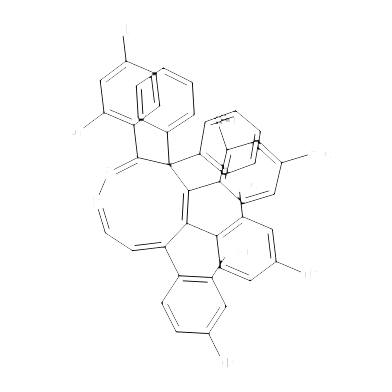 CC(C)(C)c1ccc(C2=CC=PP=C(c3ccc(C(C)(C)C)cc3C(C)(C)C)C(c3ccccc3)(c3ccccc3)C(c3ccc(C(C)(C)C)cc3C(C)(C)C)=C2c2ccc(C(C)(C)C)cc2C(C)(C)C)c(C(C)(C)C)c1